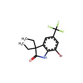 CCC1(CC)C(=O)Nc2c(Br)cc(C(F)(F)F)cc21